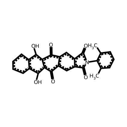 Cc1cccc(C)c1-n1c(=O)c2cc3c(=O)c4c(O)c5ccccc5c(O)c4c(=O)c3cc2c1=O